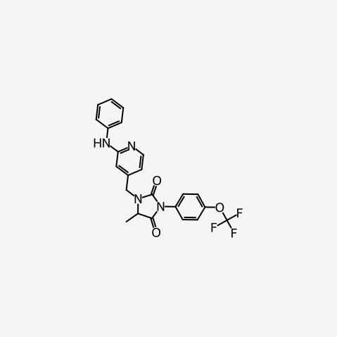 CC1C(=O)N(c2ccc(OC(F)(F)F)cc2)C(=O)N1Cc1ccnc(Nc2ccccc2)c1